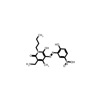 CCCCn1c(O)c(N=Nc2cc([NH+]([O-])O)ccc2O)c(C)c(CN)c1=O